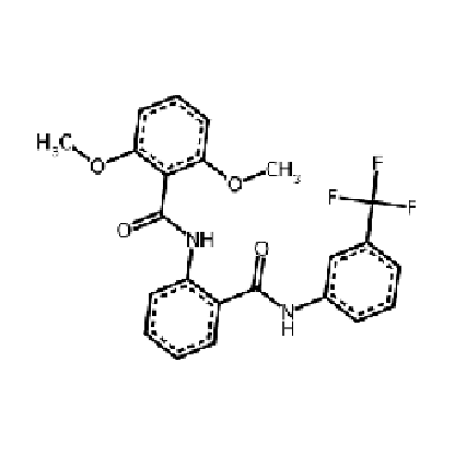 COc1cccc(OC)c1C(=O)Nc1ccccc1C(=O)Nc1cccc(C(F)(F)F)c1